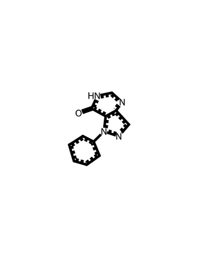 O=c1[nH]cnc2cnn(-c3ccccc3)c12